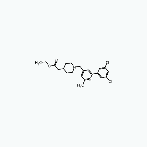 CCOC(=O)CC1CCN(Cc2cc(C)nc(-c3cc(Cl)cc(Cl)c3)c2)CC1